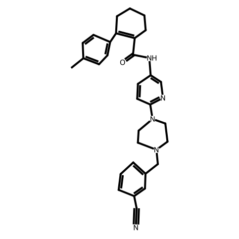 Cc1ccc(C2=C(C(=O)Nc3ccc(N4CCN(Cc5cccc(C#N)c5)CC4)nc3)CCCC2)cc1